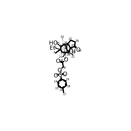 CC[C@]1(C)C[C@@H](OC(=O)COS(=O)(=O)c2ccc(C)cc2)[C@]2(C)[C@H](C)CC[C@]3(CCC(=O)[C@H]32)[C@@H](C)[C@@H]1O